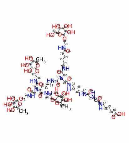 C[C@@H]1O[C@@H](OCCNC(=O)CN(CC(=O)NCCO[C@@H]2O[C@@H](C)[C@@H](O)[C@@H](O)[C@@H]2O)C(CCCCNC(=O)CN(CC(=O)NCCCCCNC(=O)CNCC(=O)NCCCCCC(=O)O)CC(=O)NCCCCCC(=O)NCCO[C@@H]2O[C@@H](CO)[C@H](O)[C@@H](O)[C@H]2O)C(=O)NCCO[C@@H]2O[C@@H](C)[C@@H](O)[C@@H](O)[C@@H]2O)[C@@H](O)[C@H](O)[C@@H]1O